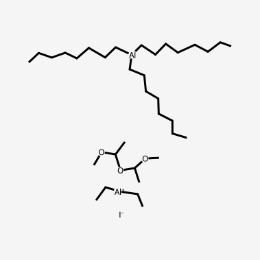 CCCCCCC[CH2][Al]([CH2]CCCCCCC)[CH2]CCCCCCC.COC(C)OC(C)OC.C[CH2][Al+][CH2]C.[I-]